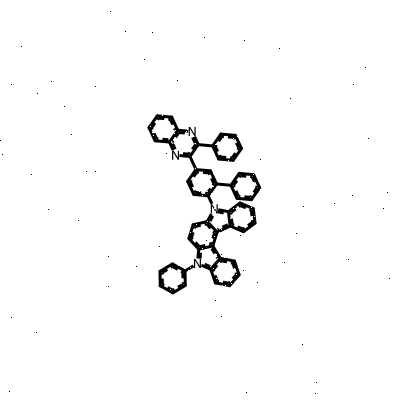 c1ccc(-c2cc(-c3nc4ccccc4nc3-c3ccccc3)ccc2-n2c3ccccc3c3c4c5ccccc5n(-c5ccccc5)c4ccc32)cc1